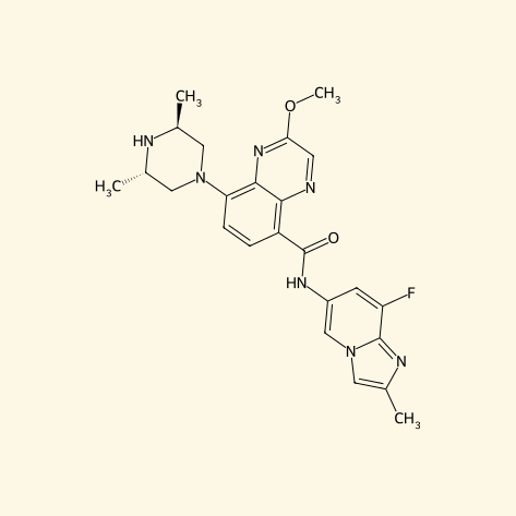 COc1cnc2c(C(=O)Nc3cc(F)c4nc(C)cn4c3)ccc(N3C[C@H](C)N[C@@H](C)C3)c2n1